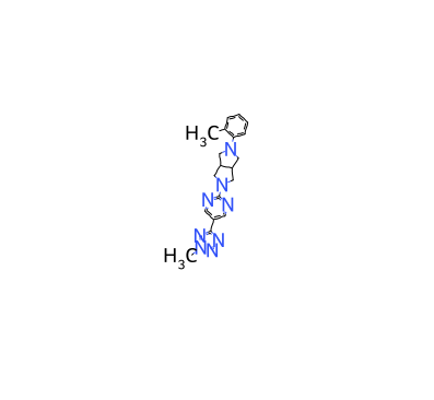 Cc1ccccc1N1CC2CN(c3ncc(-c4nnn(C)n4)cn3)CC2C1